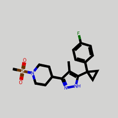 Cc1c(C2CCN(S(C)(=O)=O)CC2)n[nH]c1C1(c2ccc(F)cc2)CC1